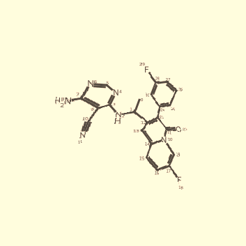 CC(Nc1ncnc(N)c1C#N)c1cc2ccc(F)cn2c(=O)c1-c1cccc(F)c1